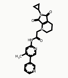 Cc1cc(NC(=O)CN2CCCC3=C2C(=O)N(C2CC2)C3=O)ncc1-c1cccnc1